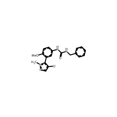 COc1ccc(NC(=O)NCc2ccccc2)cc1-c1c(Cl)cnn1C